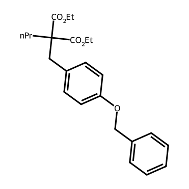 CCCC(Cc1ccc(OCc2ccccc2)cc1)(C(=O)OCC)C(=O)OCC